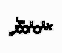 CCNc1nc(C#N)cc2cnc(NC3CCCN(C(=O)OC(C)(C)C)C3)cc12